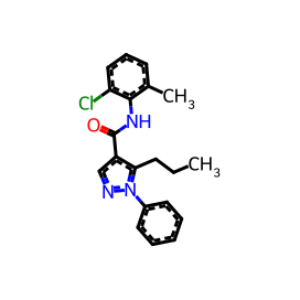 CCCc1c(C(=O)Nc2c(C)cccc2Cl)cnn1-c1ccccc1